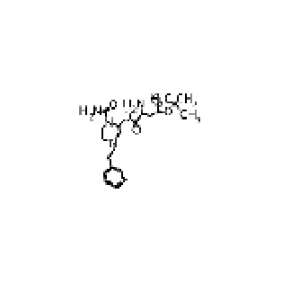 CC(C)(C)OC(=O)C[C@H](N)C(=O)OC1CN(CCc2ccccc2)CCN1C(N)=O